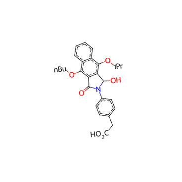 CCCCOc1c2c(c(OC(C)C)c3ccccc13)C(O)N(c1ccc(CC(=O)O)cc1)C2=O